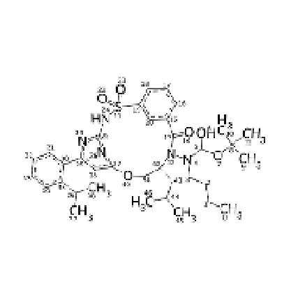 CCCCN(C(O)OC(C)(C)C)N1C(=O)c2cccc(c2)S(=O)(=O)Nc2nc(cc(-c3ccccc3C(C)C)n2)OC[C@H]1CC(C)C